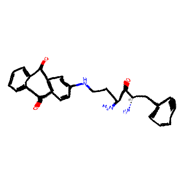 NC(CCNc1ccc2c(c1)C(=O)c1ccccc1C2=O)C(=O)[C@@H](N)Cc1ccccc1